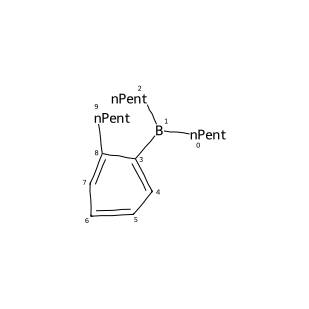 CCCCCB(CCCCC)c1ccccc1CCCCC